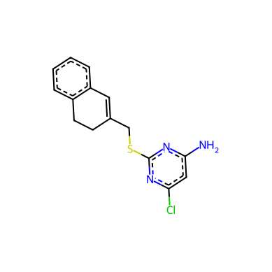 Nc1cc(Cl)nc(SCC2=Cc3ccccc3CC2)n1